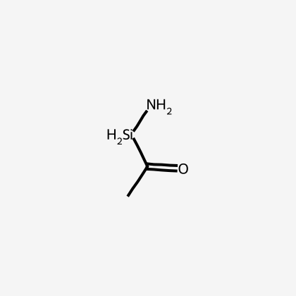 CC(=O)[SiH2]N